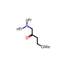 CCCN(CCC)CC(=O)CCOC